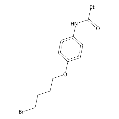 CCC(=O)Nc1ccc(OCCCCBr)cc1